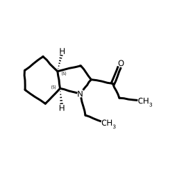 CCC(=O)C1C[C@@H]2CCCC[C@@H]2N1CC